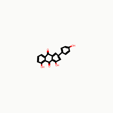 O=C1c2cccc(O)c2C(=O)c2c(O)cc(-c3ccc(O)cc3)cc21